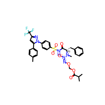 Cc1ccc(-c2cc(C(F)(F)F)nn2-c2ccc(S(=O)(=O)NC(=O)[C@H](Cc3ccccc3)N(C)/[N+]([O-])=N\OCOC(=O)C(C)C)cc2)cc1